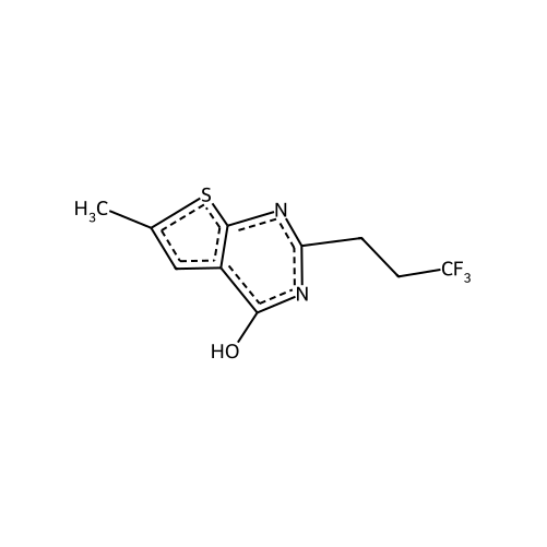 Cc1cc2c(O)nc(CCC(F)(F)F)nc2s1